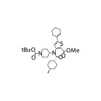 COC(=O)c1sc(C2=CCCCC2)cc1N(C(=O)[C@H]1CC[C@H](C)CC1)C1CCN(C(=O)OC(C)(C)C)CC1